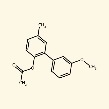 COc1cccc(-c2cc(C)ccc2OC(C)=O)c1